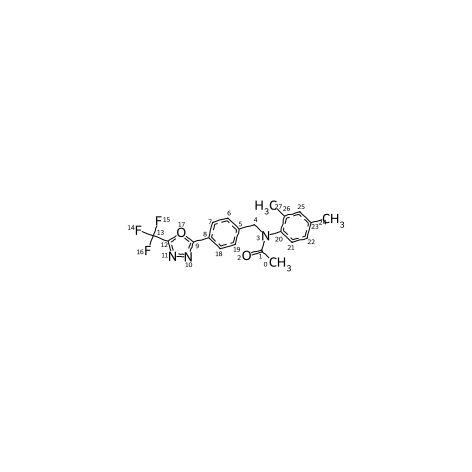 CC(=O)N(Cc1ccc(-c2nnc(C(F)(F)F)o2)cc1)c1ccc(C)cc1C